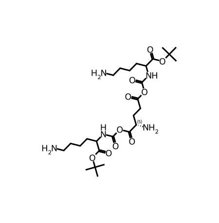 CC(C)(C)OC(=O)C(CCCCN)NC(=O)OC(=O)CC[C@H](N)C(=O)OC(=O)NC(CCCCN)C(=O)OC(C)(C)C